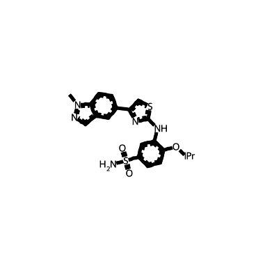 CC(C)Oc1ccc(S(N)(=O)=O)cc1Nc1nc(-c2ccc3c(cnn3C)c2)cs1